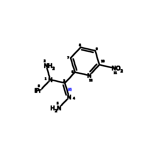 CC(C)N(N)/C(=N\N)c1cccc([N+](=O)[O-])n1